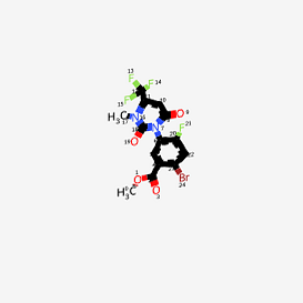 COC(=O)c1cc(-n2c(=O)cc(C(F)(F)F)n(C)c2=O)c(F)cc1Br